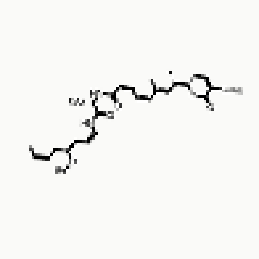 C/C=C\C[C@@H](C/C=C\NC(=O)[C@@H](NC(=O)\C=C/C=C\C(C)=C\[C@H](C)[C@@H]1CC=C(OC)C(=O)O1)C(C)(C)C)OC(C)C